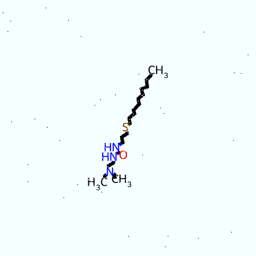 CCCCCCCCCCCCSCCCNC(=O)NCCN(CC)CC